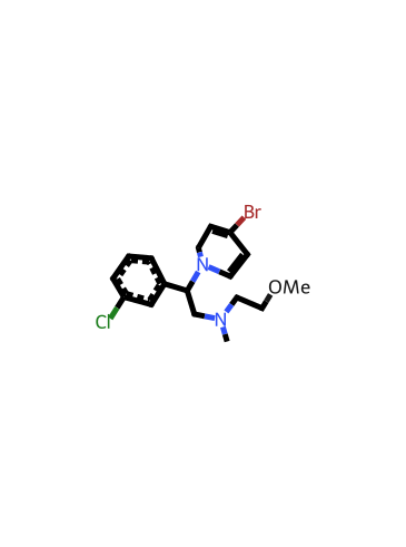 COCCN(C)CC(c1cccc(Cl)c1)N1C=CC(Br)=CC1